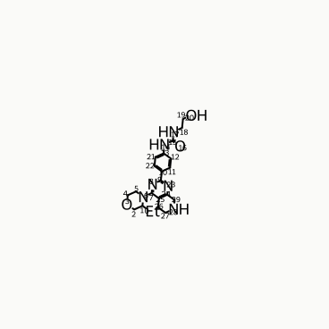 CCC1COCCN1c1nc(-c2ccc(NC(=O)NCCO)cc2)nc2c1CCNC2